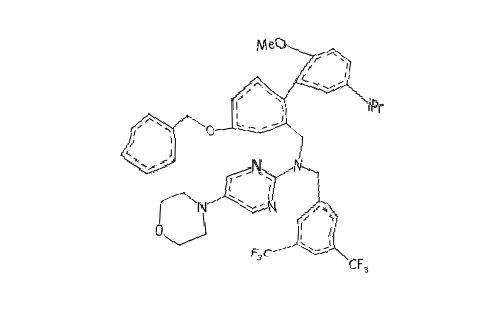 COc1ccc(C(C)C)cc1-c1ccc(OCc2ccccc2)cc1CN(Cc1cc(C(F)(F)F)cc(C(F)(F)F)c1)c1ncc(N2CCOCC2)cn1